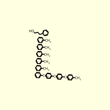 Cc1ccccc1.Cc1ccccc1.Cc1ccccc1.Cc1ccccc1.Cc1ccccc1.Cc1ccccc1.Cc1ccccc1.Cc1ccccc1.Cc1ccccc1.OCCCc1ccccc1